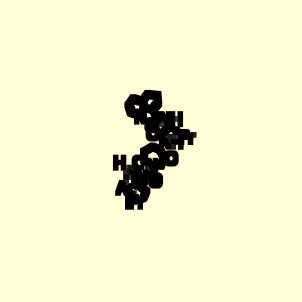 CC(=O)[C@H](CC(C)C)NC(=O)N1CC(=O)[C@@H](NC(=O)[C@H](CC(C)C)NC(=O)c2cccc3cccnc23)CC[C@H]1C